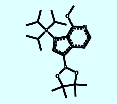 COc1nccc2c(B3OC(C)(C)C(C)(C)O3)cn([Si](C(C)C)(C(C)C)C(C)C)c12